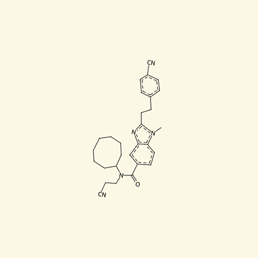 Cn1c(CCc2ccc(C#N)cc2)nc2cc(C(=O)N(CCC#N)C3CCCCCCC3)ccc21